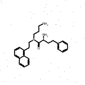 NCCCN(CCc1[c]ccc2ccccc12)C(=O)[C@@H](N)CCc1ccccc1